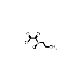 C=CCN(Cl)C(=O)C(=O)Cl